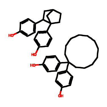 Oc1ccc(C2(c3ccc(O)cc3)CCCCCCCCCCC2)cc1.Oc1ccc(C2CC3CCC2(c2ccc(O)cc2)C3)cc1